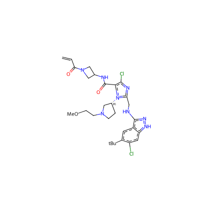 C=CC(=O)N1CC(NC(=O)c2c(Cl)nc(CNc3n[nH]c4cc(Cl)c(C(C)(C)C)cc34)n2[C@@H]2CCN(CCOC)C2)C1